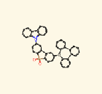 O=S1(=O)c2ccc(B3c4ccccc4-c4ccccc4-c4ccccc43)cc2-c2cc(-n3c4ccccc4c4ccccc43)ccc21